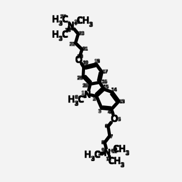 Cn1c2cc(OCCC[N+](C)(C)C)ccc2c2ccc(OCCC[N+](C)(C)C)cc21